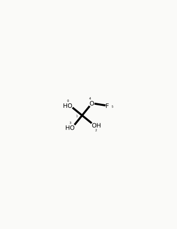 OC(O)(O)OF